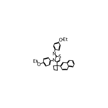 CCOc1ccc(/N=c2\scc(C3(c4ccc5ccccc5c4)CCC3)n2-c2ccc(OCC)cc2)cc1